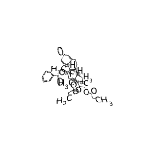 CCC(=O)OCC(=O)[C@@]1(OC(=O)CC)[C@@H](C)C[C@H]2[C@@H]3CCC4=CC(=O)C=C[C@]4(C)C3(F)[C@@H](OC(=O)c3ccccc3)C[C@@]21C